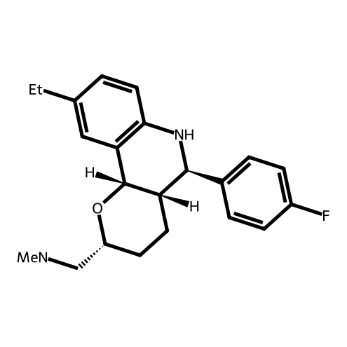 CCc1ccc2c(c1)[C@H]1O[C@@H](CNC)CC[C@H]1[C@H](c1ccc(F)cc1)N2